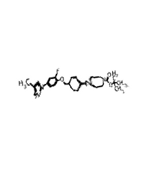 Cc1cnn(-c2ccc(OCC3CCC(N4CCN(C(=O)OC(C)(C)C)CC4)CC3)c(F)c2)c1